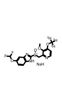 [2H]C([2H])([2H])Oc1ccnc(C[S@@+]([O-])c2nc3cc(OC(F)F)ccc3[nH]2)c1OC.[NaH]